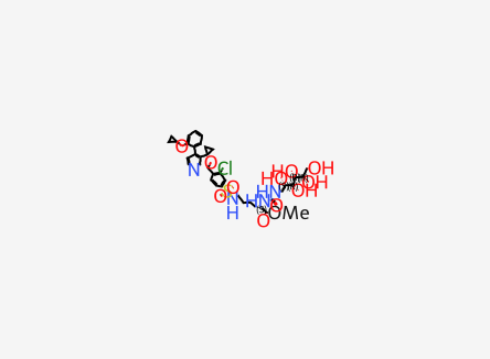 COC(=O)[C@H](CCCCNS(=O)(=O)c1ccc(COC2(c3cnccc3-c3ccccc3OC3CC3)CC2)c(Cl)c1)NC(=O)NC[C@H](O)[C@@H](O)[C@H](O)[C@H](O)CO